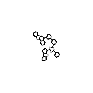 c1ccc(-c2nc(-c3cccc(-c4cccc(-c5nc6c7ccccc7sc6c6ccccc56)c4)c3)nc(-c3cccc4c3sc3ccccc34)n2)cc1